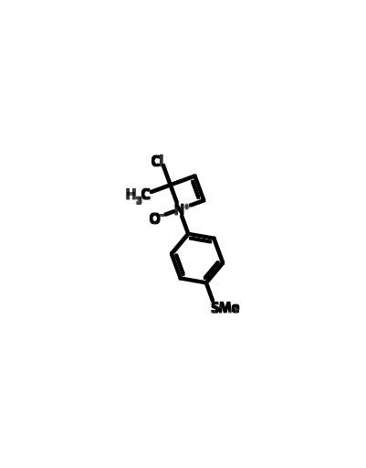 CSc1ccc([N+]2([O-])C=CC2(C)Cl)cc1